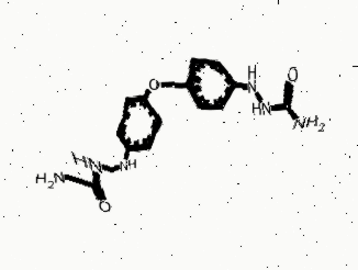 NC(=O)NNc1ccc(Oc2ccc(NNC(N)=O)cc2)cc1